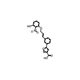 O=C(O)c1cc(-c2cccc(C=CCOc3cccc(O)c3[N+](=O)[O-])c2)on1